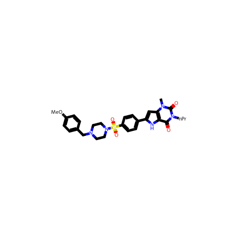 CCCn1c(=O)c2[nH]c(-c3ccc(S(=O)(=O)N4CCN(Cc5ccc(OC)cc5)CC4)cc3)cc2n(C)c1=O